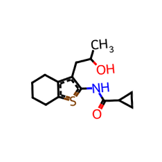 CC(O)Cc1c(NC(=O)C2CC2)sc2c1CCCC2